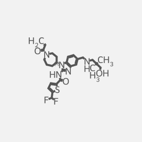 C=CC(=O)N1CCC[C@@H](n2c(NC(=O)c3ccc(C(F)F)s3)nc3cc(CNCC(C)(C)CO)ccc32)CC1